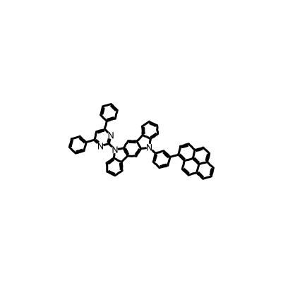 c1ccc(-c2cc(-c3ccccc3)nc(-n3c4ccccc4c4cc5c(cc43)c3ccccc3n5-c3cccc(-c4ccc5ccc6cccc7ccc4c5c67)c3)n2)cc1